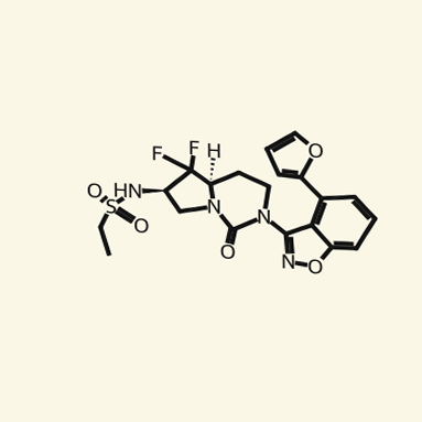 CCS(=O)(=O)N[C@@H]1CN2C(=O)N(c3noc4cccc(-c5ccco5)c34)CC[C@@H]2C1(F)F